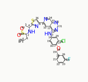 CC(C)CC(NC(C)c1nc(-c2cc3c(Nc4ccc(OCc5cccc(F)c5)c(Cl)c4)ncnc3cn2)cs1)=S(=O)=O